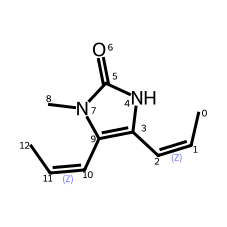 C/C=C\c1[nH]c(=O)n(C)c1/C=C\C